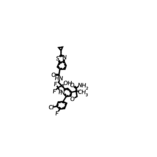 C[C@]1(C(N)=O)COc2c1cc([C@@](O)(CNC(=O)c1ccc3nc(C4CC4)sc3c1)C(F)(F)F)nc2-c1ccc(F)c(Cl)c1